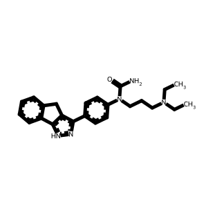 CCN(CC)CCCN(C(N)=O)c1ccc(-c2n[nH]c3c2Cc2ccccc2-3)cc1